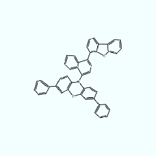 c1ccc(-c2ccc3c(c2)Oc2cc(-c4ccccc4)ccc2N3c2ccc(-c3cccc4c3oc3ccccc34)c3ccccc23)cc1